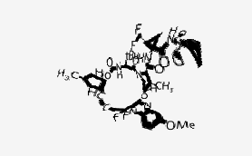 COc1ccc2nc3c(nc2c1)O[C@H]1CN(C(=O)[C@H](C(C)(C)C)NC(=O)O[C@@H]2C[C@H](C)C[C@H]2CCCCC3(F)F)[C@H](C(=O)N[C@]2(C(=O)NS(=O)(=O)C3CC3)C[C@H]2C(F)F)[C@@H]1C